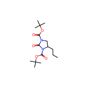 CCCC1CN(C(=O)OC(C)(C)C)C(=O)N1C(=O)OC(C)(C)C